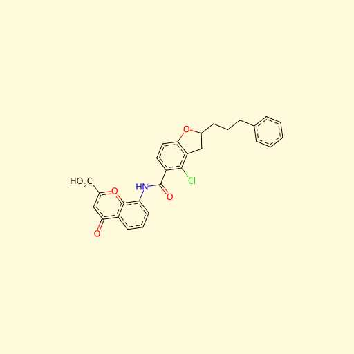 O=C(O)c1cc(=O)c2cccc(NC(=O)c3ccc4c(c3Cl)CC(CCCc3ccccc3)O4)c2o1